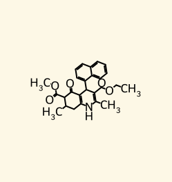 CCOC(=O)C1=C(C)NC2=C(C(=O)C(C(=O)OC)C(C)C2)C1c1cccc2ccccc12